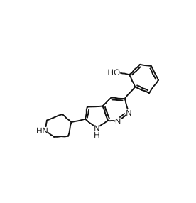 Oc1ccccc1-c1cc2cc(C3CCNCC3)[nH]c2nn1